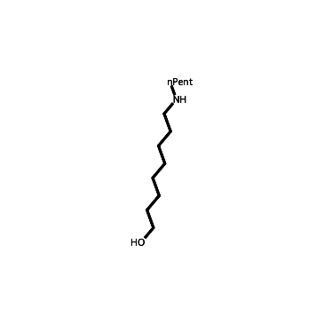 CCCCCNCCCCCCCCO